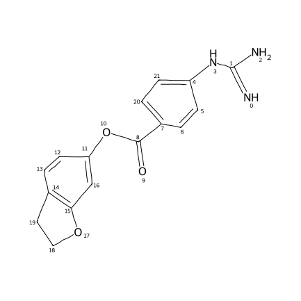 N=C(N)Nc1ccc(C(=O)Oc2ccc3c(c2)OCC3)cc1